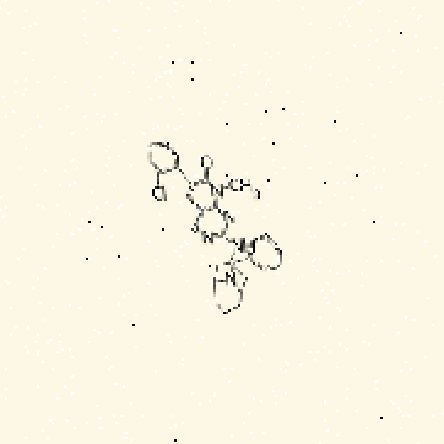 Cn1c(=O)c(-c2ccccc2Cl)cc2cnc(NC3CC4CCCC(C3)N4Cc3ccccc3)nc21